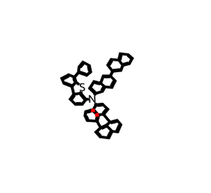 c1ccc(-c2cccc3c2sc2c(N(c4ccc(-c5cccc6cccc(-c7ccccc7)c56)cc4)c4ccc5cc(-c6ccc7ccccc7c6)ccc5c4)cccc23)cc1